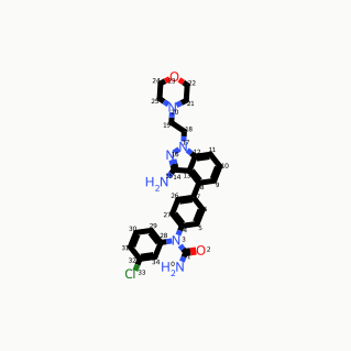 NC(=O)N(c1ccc(-c2cccc3c2c(N)nn3CCN2CCOCC2)cc1)c1cccc(Cl)c1